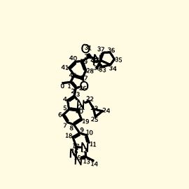 Cc1c(-c2cc3ccc(-c4ccn5c(C)nnc5c4)cc3n2CC2CC2)oc2cc(C(=O)N3CC4CCC3[C@@H]4C)ccc12